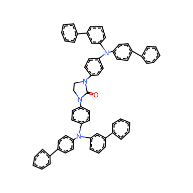 O=C1N(c2ccc(N(c3ccc(-c4ccccc4)cc3)c3cccc(-c4ccccc4)c3)cc2)CCN1c1ccc(N(c2ccc(-c3ccccc3)cc2)c2cccc(-c3ccccc3)c2)cc1